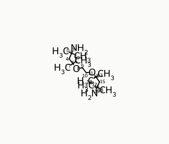 CC(C)(N)CC(C)(C)OCCOC(C)(C)CC(C)(C)N